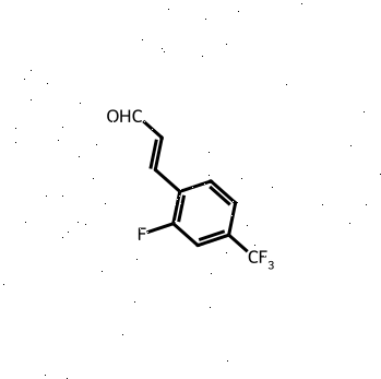 O=CC=Cc1ccc(C(F)(F)F)cc1F